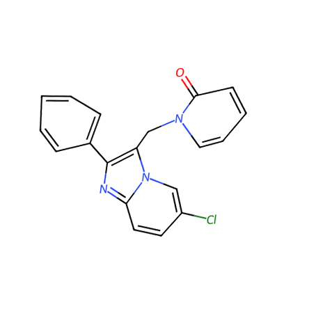 O=c1ccccn1Cc1c(-c2ccccc2)nc2ccc(Cl)cn12